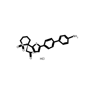 Cl.Nc1ccc(-c2ccc(-c3ccc([C@@]4(CC(=O)O)CCCCS4(=O)=O)s3)cc2)cc1